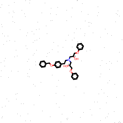 O[C@H](COc1ccccc1)CN(CCc1ccc(OCc2ccccc2)cc1)C[C@H](O)COc1ccccc1